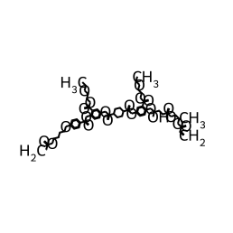 C=CC(=O)OCCCCOc1ccc(C(=O)Oc2ccc(OC(=O)C3CCC(C(=O)Oc4ccc(OC(O)CCC(=O)OCC(C)OC(=O)C=C)c(C(=O)OCCOCC)c4)CC3)cc2C(=O)OCCOCC)cc1